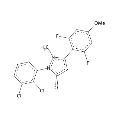 COc1cc(F)c(-c2cc(=O)n(-c3cccc(Cl)c3Cl)n2C)c(F)c1